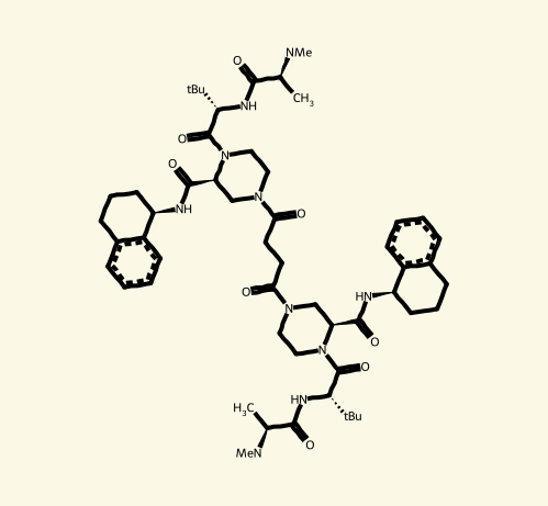 CN[C@@H](C)C(=O)N[C@H](C(=O)N1CCN(C(=O)CCC(=O)N2CCN(C(=O)[C@@H](NC(=O)[C@H](C)NC)C(C)(C)C)[C@H](C(=O)N[C@@H]3CCCc4ccccc43)C2)C[C@H]1C(=O)N[C@@H]1CCCc2ccccc21)C(C)(C)C